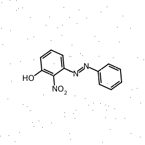 O=[N+]([O-])c1c(O)cccc1N=Nc1ccccc1